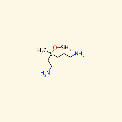 C[Si](CCN)(CCCN)O[SiH3]